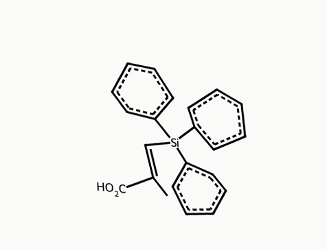 C/C(=C\[Si](c1ccccc1)(c1ccccc1)c1ccccc1)C(=O)O